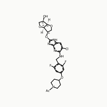 CC(=O)N1CCC(Oc2cc(F)c(CNc3nc4nc(O[C@@H]5CO[C@H]6[C@@H]5OC[C@H]6O)[nH]c4cc3Cl)c(F)c2)CC1